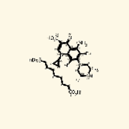 CCCCCCCCCCCCCCCCCC(=O)O.C[C@@H]1CN(c2c(F)c(N)c3c(=O)c(C(=O)O)cn(C4CC4)c3c2F)C[C@H](C)N1